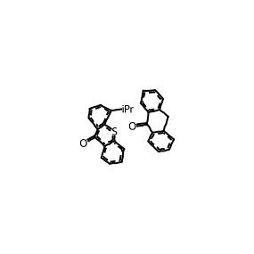 CC(C)c1cccc2c(=O)c3ccccc3sc12.O=C1c2ccccc2Cc2ccccc21